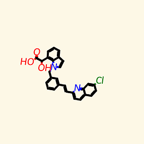 O=C(O)C(O)c1cccc2ccn(Cc3cccc(C=Cc4ccc5ccc(Cl)cc5n4)c3)c12